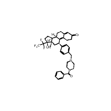 C[C@]12C[C@H](c3ccc(CN4CCN(C(=O)c5ccccc5)CC4)cc3)C3=C4CCC(=O)C=C4CC[C@H]3[C@@H]1CC[C@@]2(O)C(F)(F)C(F)(F)F